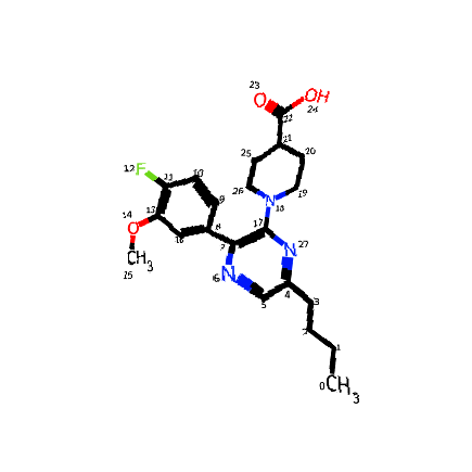 CCCCc1cnc(-c2ccc(F)c(OC)c2)c(N2CCC(C(=O)O)CC2)n1